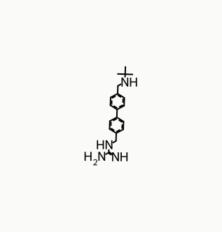 CC(C)(C)NCc1ccc(-c2ccc(CNC(=N)N)cc2)cc1